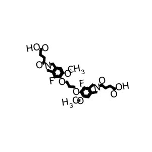 COc1cc2c(c(F)c1OCCCOc1c(OC)cc3c(c1F)CN(C(=O)CCC(=O)O)C3)CN(C(=O)CCC(=O)O)C2